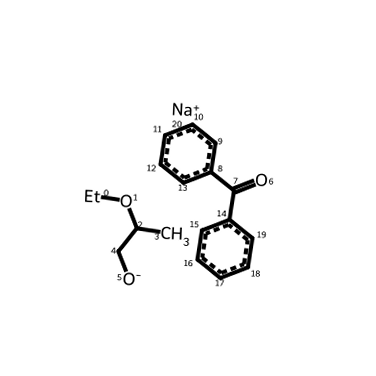 CCOC(C)C[O-].O=C(c1ccccc1)c1ccccc1.[Na+]